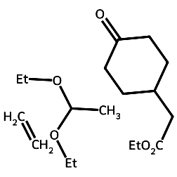 C=C.CCOC(=O)CC1CCC(=O)CC1.CCOC(C)OCC